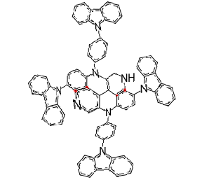 C1=CC(c2ccncc2N(c2ccc(-n3c4ccccc4c4ccccc43)cc2)c2ccc(-n3c4ccccc4c4ccccc43)cc2)=C(N(c2ccc(-n3c4ccccc4c4ccccc43)cc2)c2ccc(-n3c4ccccc4c4ccccc43)cc2)CN1